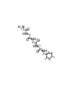 NCC(=O)NCC(=O)NCC(=O)NCC(=O)NCc1ccccc1